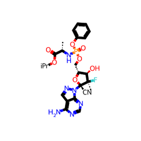 CC(C)OC(=O)[C@H](C)NP(=O)(OC[C@H]1O[C@@](C#N)(n2ncc3c(N)ncnc32)[C@](C)(F)[C@@H]1O)Oc1ccccc1